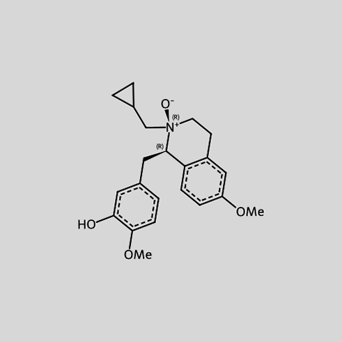 COc1ccc2c(c1)CC[N@@+]([O-])(CC1CC1)[C@@H]2Cc1ccc(OC)c(O)c1